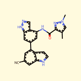 Cc1cn(C)nc1C(=O)Nc1cc(-c2cc(C#N)cc3[nH]ccc23)cc2[nH]ncc12